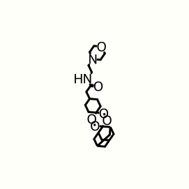 O=C(CC1CCC2(CC1)OOC1(OO2)C2CC3CC(C2)CC1C3)NCCN1CCOCC1